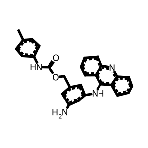 Cc1ccc(NC(=O)OCc2cc(N)cc(Nc3c4ccccc4nc4ccccc34)c2)cc1